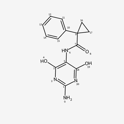 Nc1nc(O)c(NC(=O)C2(c3ccccc3)CC2)c(O)n1